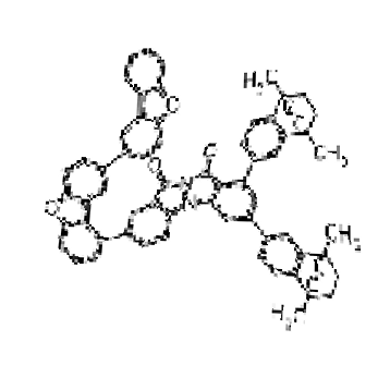 CC12CCC(C)(CC1)c1cc(-c3cc(-c4ccc5c(c4)C4(C)CCC5(C)CC4)c4c(=O)n5c(=O)c6cc(-c7cccc8oc9ccc(-c%10ccc%11oc%12ccccc%12c%11c%10)cc9c78)ccc6n5c4c3)ccc12